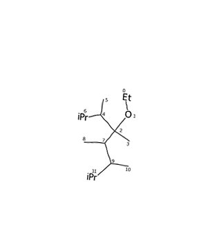 CCOC(C)(C(C)C(C)C)C(C)C(C)C(C)C